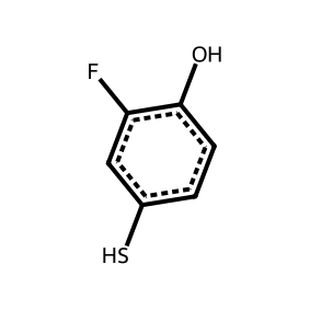 Oc1ccc(S)cc1F